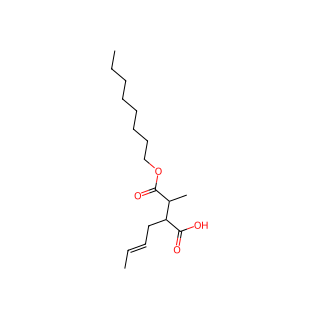 CC=CCC(C(=O)O)C(C)C(=O)OCCCCCCCC